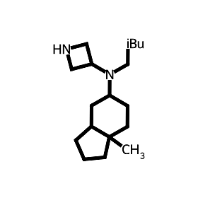 CCC(C)CN(C1CNC1)C1CCC2(C)CCCC2C1